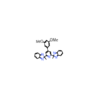 COc1cc(OC)cc(-c2cc(C3(C)N=c4ccccc4=N3)nc(C3(C)N=c4ccccc4=N3)c2)c1